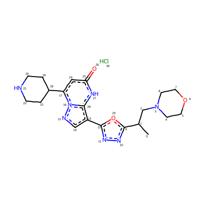 CC(CN1CCOCC1)c1nnc(-c2cnn3c(C4CCNCC4)cc(=O)[nH]c23)o1.Cl